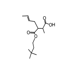 CC=CCC(C(=O)OCCC(C)(C)C)C(C)C(=O)O